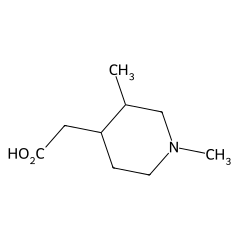 CC1CN(C)CCC1CC(=O)O